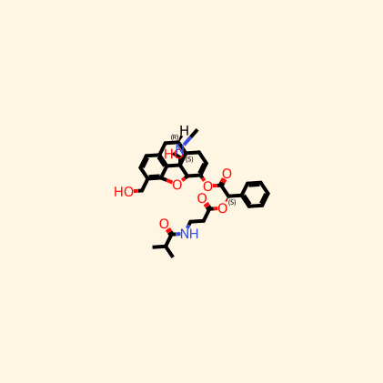 CC(C)C(=O)NCCC(=O)O[C@H](C(=O)OC1=CC[C@@]2(O)[C@H]3Cc4ccc(CO)c5c4C2(CCN3C)C1O5)c1ccccc1